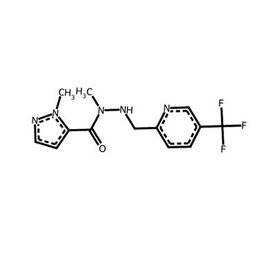 CN(NCc1ccc(C(F)(F)F)cn1)C(=O)c1ccnn1C